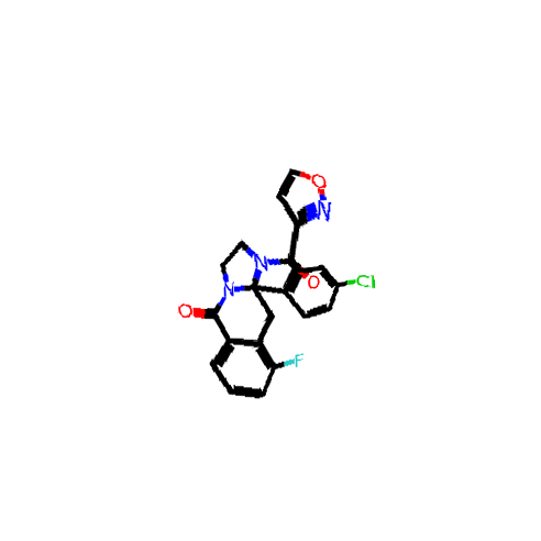 O=C(c1ccon1)N1CCN2C(=O)c3cccc(F)c3CC12c1ccc(Cl)cc1